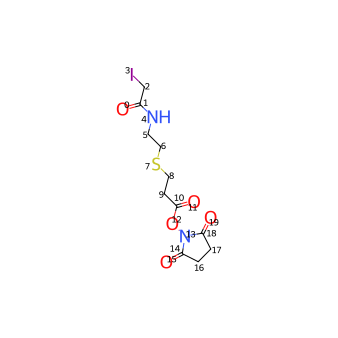 O=C(CI)NCCSCCC(=O)ON1C(=O)CCC1=O